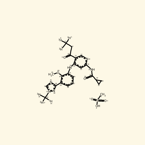 CS(=O)(=O)O.[2H]C([2H])([2H])CC(=O)c1cnc(NC(=O)C2CC2)cc1Nc1cccc(-c2ncn(C([2H])([2H])[2H])n2)c1OC